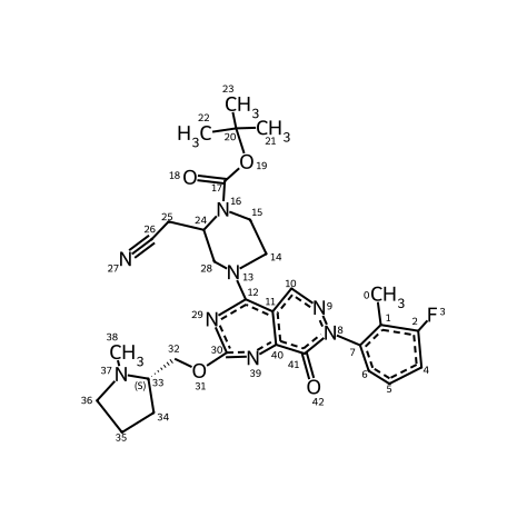 Cc1c(F)cccc1-n1ncc2c(N3CCN(C(=O)OC(C)(C)C)C(CC#N)C3)nc(OC[C@@H]3CCCN3C)nc2c1=O